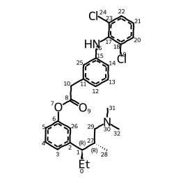 CC[C@@H](c1cccc(OC(=O)Cc2cccc(Nc3c(Cl)cccc3Cl)c2)c1)[C@@H](C)CN(C)C